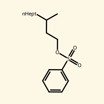 CCCCCCCC(C)CCOS(=O)(=O)c1ccccc1